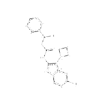 O=C(C[C@H](O)c1ccccc1)Nc1nc2ccc(C(F)(F)F)nc2n1C1CCC1